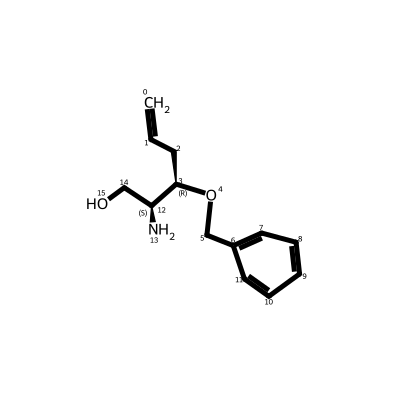 C=CC[C@@H](OCc1ccccc1)[C@@H](N)CO